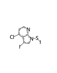 Clc1ccnc2c1c(I)cn2SI